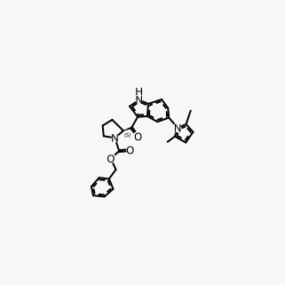 Cc1ccc(C)n1-c1ccc2[nH]cc(C(=O)[C@@H]3CCCN3C(=O)OCc3ccccc3)c2c1